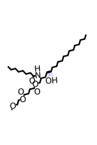 CCCCCCCCCCCCC/C=C/C(O)C(COC(=O)CCC(=O)OCCOC)NC(=O)CCCCCCC